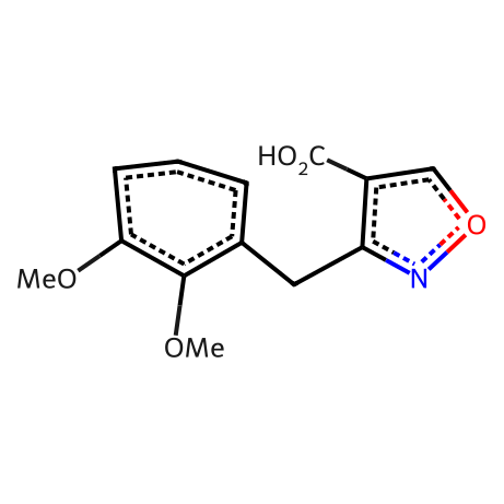 COc1cccc(Cc2nocc2C(=O)O)c1OC